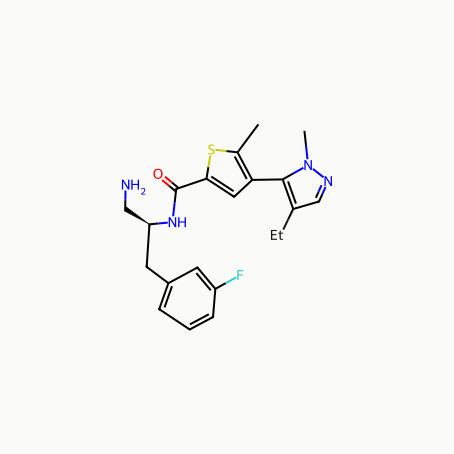 CCc1cnn(C)c1-c1cc(C(=O)N[C@H](CN)Cc2cccc(F)c2)sc1C